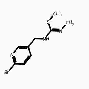 C/N=C(/NCc1ccc(Br)nc1)SC